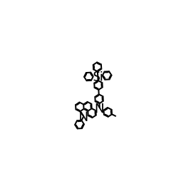 Cc1ccc(N(c2ccc(-c3ccc([Si](c4ccccc4)(c4ccccc4)c4ccccc4)cc3)cc2)c2ccc3c4c2ccc2cccc(c24)n3-c2ccccc2)cc1